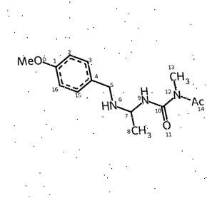 COc1ccc(CNC(C)NC(=O)N(C)C(C)=O)cc1